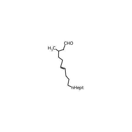 CCCCCCCCCCC=CCCC(C)CC=O